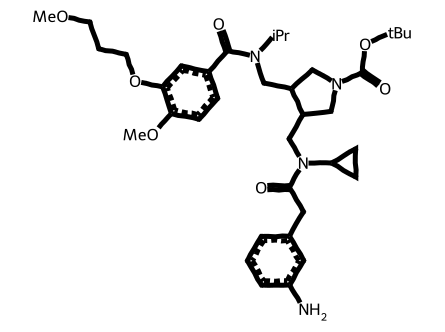 COCCCOc1cc(C(=O)N(CC2CN(C(=O)OC(C)(C)C)CC2CN(C(=O)Cc2cccc(N)c2)C2CC2)C(C)C)ccc1OC